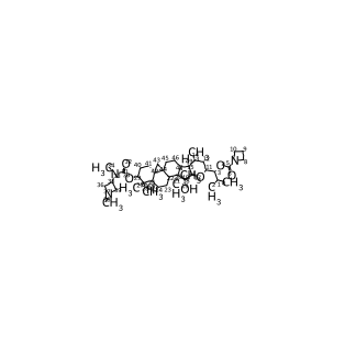 CC(C)[C@@H](OC(=O)N1CCC1)C1C[C@@H](C)[C@H]2C(O1)[C@H](O)[C@@]1(C)C3CC[C@H]4C(C)(C)[C@@H](OC(=O)N(C)C5CN(C)C5)CC[C@@]45C[C@@]35CC[C@]21C